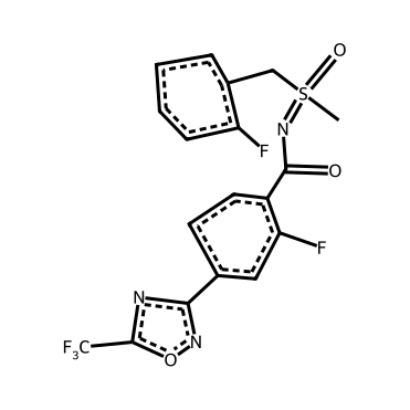 CS(=O)(Cc1ccccc1F)=NC(=O)c1ccc(-c2noc(C(F)(F)F)n2)cc1F